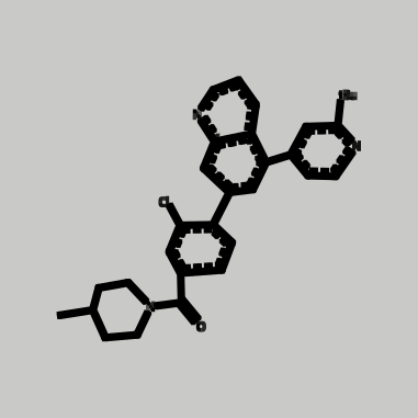 CC1CCN(C(=O)c2ccc(-c3cc(-c4ccnc(C(C)(C)C)c4)c4cccnc4c3)c(Cl)c2)CC1